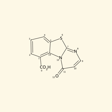 O=C(O)c1cccc2sc3nccc(=O)n3c12